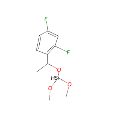 CO[SiH](OC)OC(C)c1ccc(F)cc1F